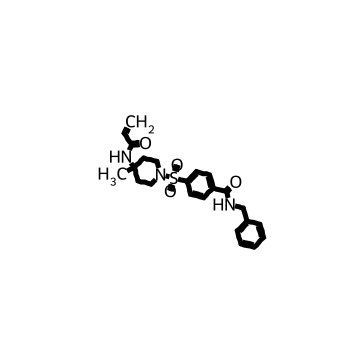 C=CC(=O)NC1(C)CCN(S(=O)(=O)c2ccc(C(=O)NCc3ccccc3)cc2)CC1